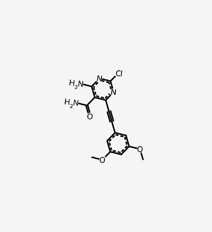 COc1cc(C#Cc2nc(Cl)nc(N)c2C(N)=O)cc(OC)c1